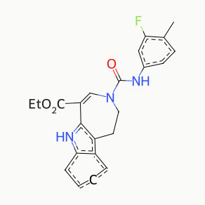 CCOC(=O)C1=CN(C(=O)Nc2ccc(C)c(F)c2)CCc2c1[nH]c1ccccc21